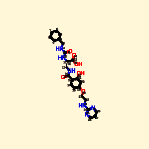 O=C(NCc1ccccc1)N[C@@H](CNC(=O)c1ccc(OCCNc2ncccn2)cc1O)C(=O)O